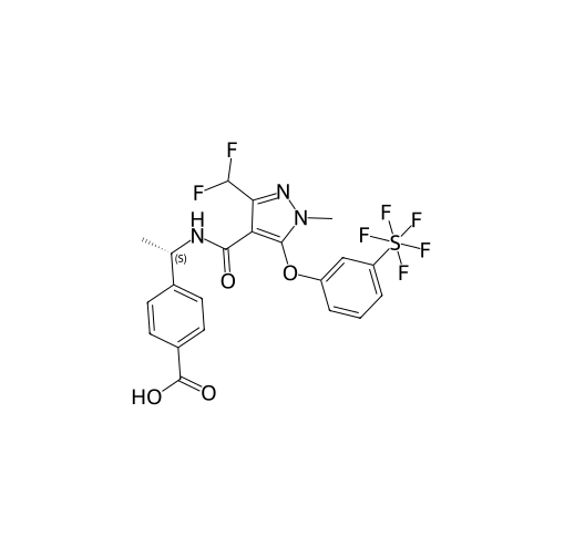 C[C@H](NC(=O)c1c(C(F)F)nn(C)c1Oc1cccc(S(F)(F)(F)(F)F)c1)c1ccc(C(=O)O)cc1